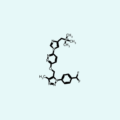 Cc1nnn(-c2ccc(C(F)F)cc2)c1COc1ccc(-n2cnc(C[N+](C)(C)C)c2)nn1